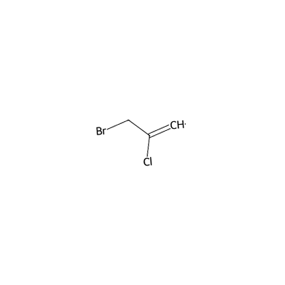 [CH]=C(Cl)CBr